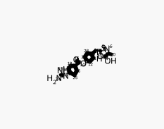 CC(C(=O)O)N(C)SNCc1ccc(OC(=O)c2ccc(NC(=N)N)cc2)cc1